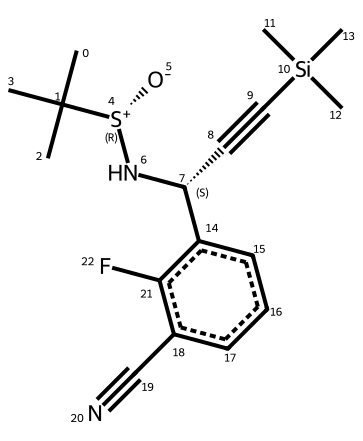 CC(C)(C)[S@+]([O-])N[C@H](C#C[Si](C)(C)C)c1cccc(C#N)c1F